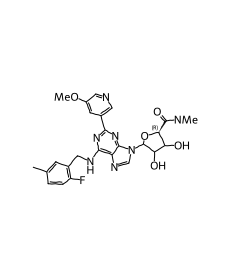 CNC(=O)[C@@H]1OC(n2cnc3c(NCc4cc(C)ccc4F)nc(-c4cncc(OC)c4)nc32)C(O)C1O